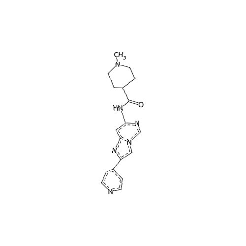 CN1CCC(C(=O)Nc2cc3nc(-c4ccncc4)cn3cn2)CC1